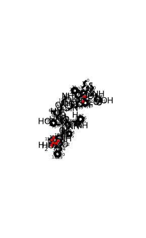 CCCC[C@@H](C(=O)N1CSC[C@@H]1C(=O)N[C@H](C=O)CC(=O)O)N(C)C(=O)C(Cc1ccccc1)N(C)C(=O)[C@H](Cc1cc(F)c(F)c(F)c1)NC(=O)CSC[C@H](NC(=O)[C@H](CC(C)C)NC(=O)[C@H](Cc1ccc(O)cc1)NC(=O)[C@H](Cc1c[nH]c2ccccc12)NC(=O)[C@H]1CCCN1C(=O)[C@H](Cc1ccc(O)cc1)NCC(=O)C(Cc1ccccc1)N(C)C(=O)[C@@H](N)C(C)C)C(=O)NCC(N)=O